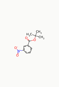 CC(C)(C)OC(=O)c1cccc([N+](=O)[O-])c1